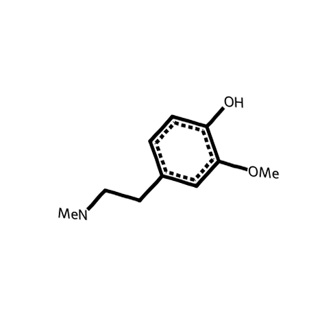 CNCCc1ccc(O)c(OC)c1